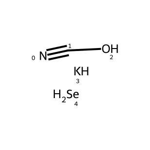 N#CO.[KH].[SeH2]